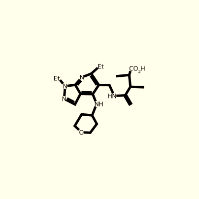 C=C(NCc1c(CC)nc2c(cnn2CC)c1NC1CCOCC1)C(C)C(C)C(=O)O